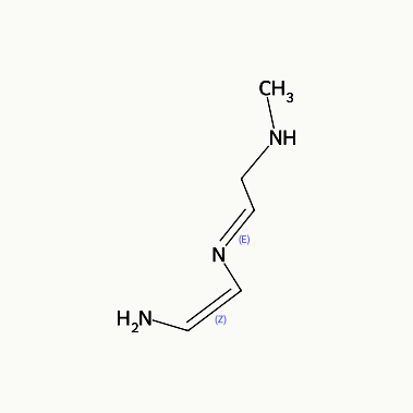 CNC/C=N/C=C\N